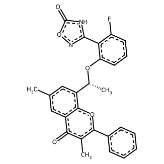 Cc1cc([C@@H](C)Oc2cccc(F)c2-c2noc(=O)[nH]2)c2oc(-c3ccccc3)c(C)c(=O)c2c1